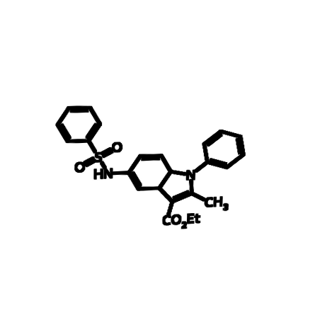 CCOC(=O)C1=C(C)N(c2ccccc2)C2C=CC(NS(=O)(=O)c3ccccc3)=CC12